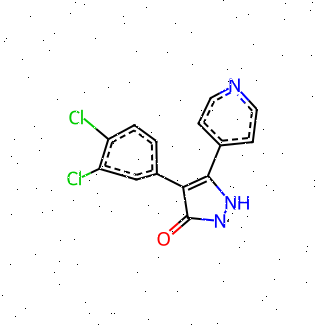 O=C1[N]NC(c2ccncc2)=C1c1ccc(Cl)c(Cl)c1